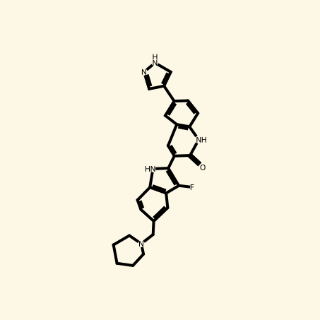 O=c1[nH]c2ccc(-c3cn[nH]c3)cc2cc1-c1[nH]c2ccc(CN3CCCCC3)cc2c1F